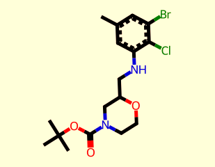 Cc1cc(Br)c(Cl)c(NCC2CN(C(=O)OC(C)(C)C)CCO2)c1